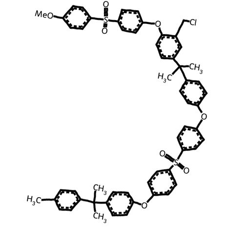 COc1ccc(S(=O)(=O)c2ccc(Oc3ccc(C(C)(C)c4ccc(Oc5ccc(S(=O)(=O)c6ccc(Oc7ccc(C(C)(C)c8ccc(C)cc8)cc7)cc6)cc5)cc4)cc3CCl)cc2)cc1